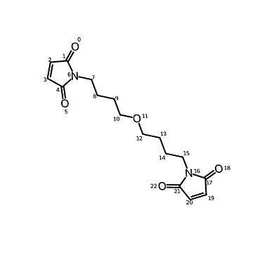 O=C1C=CC(=O)N1CCCCOCCCCN1C(=O)C=CC1=O